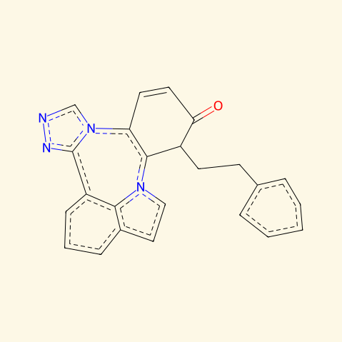 O=C1C=Cc2c(n3ccc4cccc(c5nncn25)c43)C1CCc1ccccc1